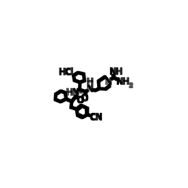 Cl.N#Cc1ccc(CC(C(=O)N[C@H](C(=O)NCC2CCN(C(=N)N)CC2)C2CCCCC2)C2CCCCC2)cc1